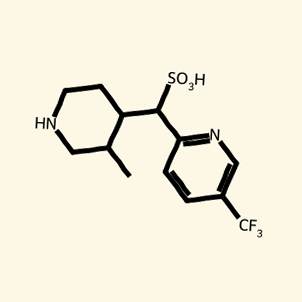 CC1CNCCC1C(c1ccc(C(F)(F)F)cn1)S(=O)(=O)O